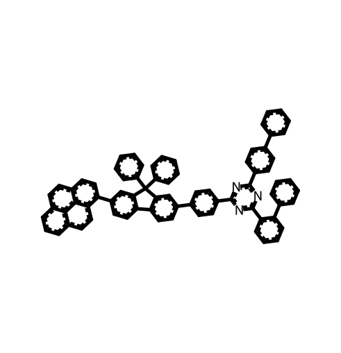 c1ccc(-c2ccc(-c3nc(-c4ccc(-c5ccc6c(c5)C(c5ccccc5)(c5ccccc5)c5cc(-c7ccc8ccc9cccc%10ccc7c8c9%10)ccc5-6)cc4)nc(-c4ccccc4-c4ccccc4)n3)cc2)cc1